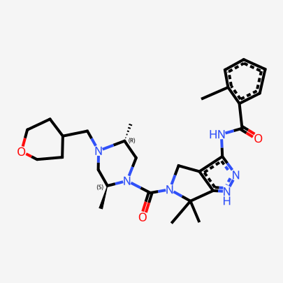 Cc1ccccc1C(=O)Nc1n[nH]c2c1CN(C(=O)N1C[C@@H](C)N(CC3CCOCC3)C[C@@H]1C)C2(C)C